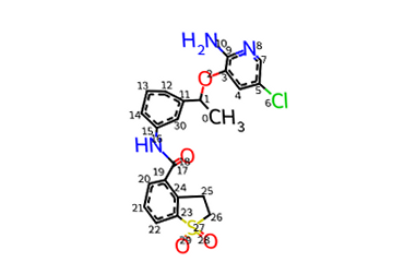 CC(Oc1cc(Cl)cnc1N)c1cccc(NC(=O)c2cccc3c2CCS3(=O)=O)c1